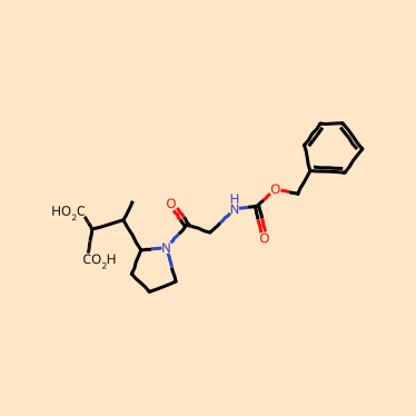 CC(C(C(=O)O)C(=O)O)C1CCCN1C(=O)CNC(=O)OCc1ccccc1